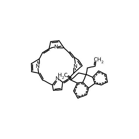 C=CCC1(CC=C)c2ccccc2-c2cccc(C3=C4C=CC(=N4)C=C4C=CC(=N4)C=C4C=CC(=N4)C=C4C=CC3=N4)c21